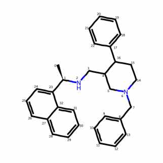 C[C@@H](NCC1CN(Cc2ccccc2)CCC1c1ccccc1)c1cccc2ccccc12